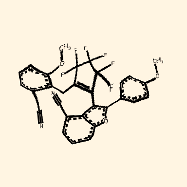 COc1ccc(-c2oc3cccc(C#N)c3c2C2=C(Cc3c(C#N)cccc3OC)C(F)(F)C(F)(F)C2(F)F)cc1